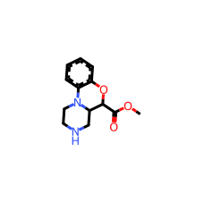 COC(=O)C1Oc2ccccc2N2CCNCC12